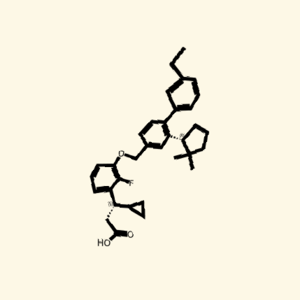 CCc1cccc(-c2ccc(COc3cccc([C@@H](CC(=O)O)C4CC4)c3F)cc2[C@@H]2CCCC2(C)C)c1